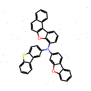 c1ccc2c(c1)ccc1oc3c(N(c4ccc5c(c4)oc4ccccc45)c4ccc5sc6ccccc6c5c4)cccc3c12